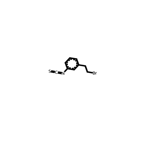 S=C=Nc1cccc(CCBr)c1